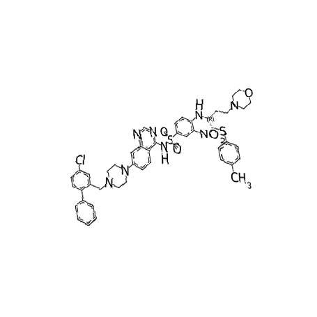 Cc1ccc(SC[C@@H](CCN2CCOCC2)Nc2ccc(S(=O)(=O)Nc3ncnc4cc(N5CCN(Cc6cc(Cl)ccc6-c6ccccc6)CC5)ccc34)cc2[N+](=O)[O-])cc1